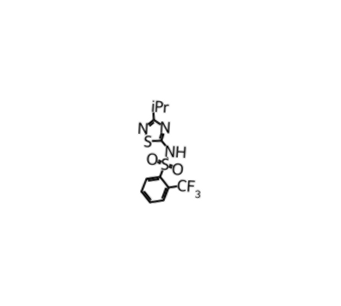 CC(C)c1nsc(NS(=O)(=O)c2ccccc2C(F)(F)F)n1